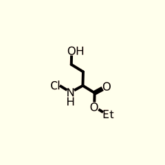 CCOC(=O)C(CCO)NCl